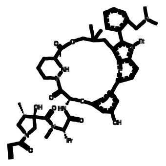 C=CC(=O)N1C[C@H](C)[C@](O)(C(=O)N(C)[C@H](C(=O)N[C@H]2Cc3cc(O)cc(c3)-c3ccc4c(c3)c(c(-c3ccccc3CN(C)C)n4CC)CC(C)(C)COC(=O)[C@@H]3CCCN(N3)C2=O)C(C)C)C1